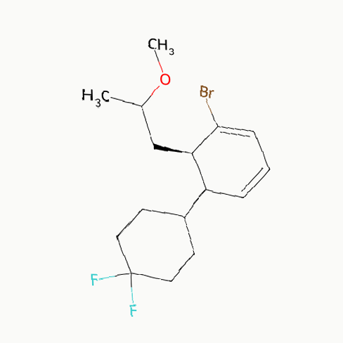 COC(C)C[C@H]1C(Br)=CC=CC1C1CCC(F)(F)CC1